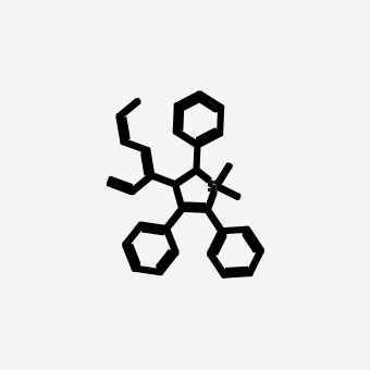 C=C/C(=C\C=C/C)C1C(c2ccccc2)=C(c2ccccc2)[Si](C)(C)C1C1=CC=C=C=C1